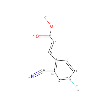 COC(=O)C=Cc1c[c]c(F)cc1C#N